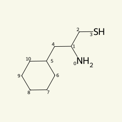 NC(CS)CC1CCCCC1